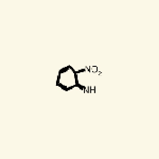 N=C1C=CC=CC1[N+](=O)[O-]